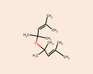 CC(C)=CC(C)(C)OC(C)(C)C=C(C)C